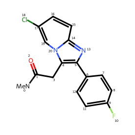 CNC(=O)Cc1c(-c2ccc(F)cc2)nc2ccc(Cl)cn12